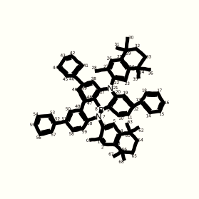 Cc1cc2c(cc1N1B3c4ccc(-c5ccccc5)cc4N(c4cc5c(cc4C)C(C)(C)CCC5(C)C)c4cc(-c5ccccc5)cc(c43)-c3cc(-c4ccccc4)ccc31)C(C)(C)CCC2(C)C